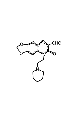 O=Cc1cc2cc3c(cc2n(CCN2CCCCC2)c1=O)OCO3